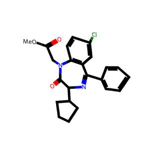 COC(=O)CN1C(=O)C(C2CCCC2)N=C(c2ccccc2)c2cc(Cl)ccc21